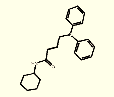 O=C(CCCP(c1ccccc1)c1ccccc1)NC1CCCCC1